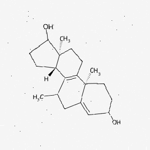 CC1CC2=CC(O)CC[C@]2(C)C2=C1[C@@H]1CCC(O)[C@@]1(C)CC2